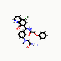 CN(CC(N)=O)c1cccc(C(NC(=O)COc2ccccc2)c2cc(Cl)c3cccnc3c2O)c1